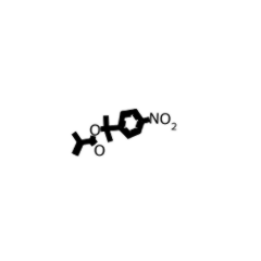 C=C(C)C(=O)OC(C)(C)c1ccc([N+](=O)[O-])cc1